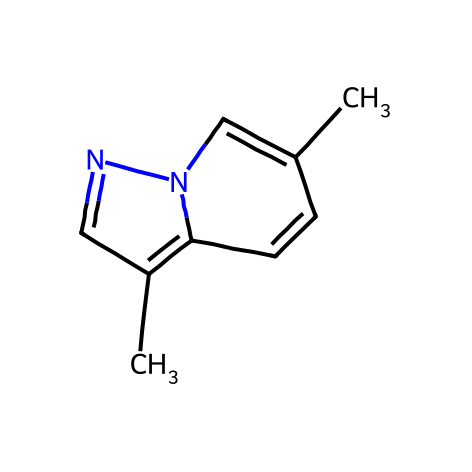 Cc1ccc2c(C)cnn2c1